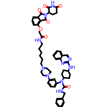 O=C(COc1cccc2c1C(=O)N(C1CCC(=O)NC1=O)C2=O)NCCCCCCN1CCN(c2cccc(N(C(=O)NCc3ccccc3)C3CCC(Nc4ncc5ccccc5n4)CC3)c2)CC1